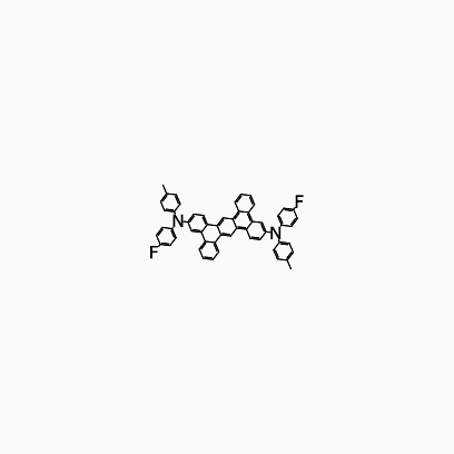 Cc1ccc(N(c2ccc(F)cc2)c2ccc3c(c2)c2ccccc2c2cc4c5ccc(N(c6ccc(C)cc6)c6ccc(F)cc6)cc5c5ccccc5c4cc32)cc1